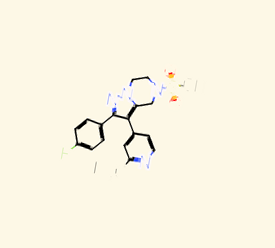 Cc1cc(-c2c(-c3ccc(F)cc3)nn3c2CN(S(C)(=O)=O)CC3)ccn1